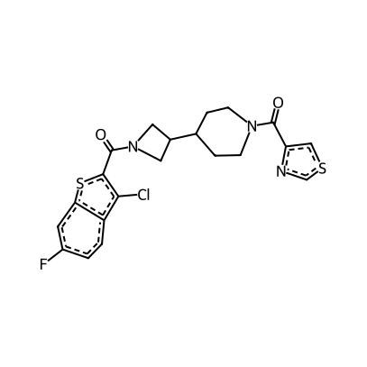 O=C(c1cscn1)N1CCC(C2CN(C(=O)c3sc4cc(F)ccc4c3Cl)C2)CC1